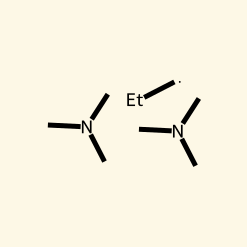 CN(C)C.CN(C)C.[CH2]CC